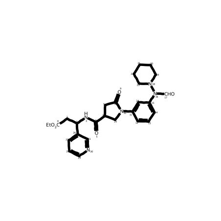 CCOC(=O)CC(NC(=O)C1CC(=O)N(c2cccc(N(C=O)N3CCCCC3)c2)C1)c1cccnc1